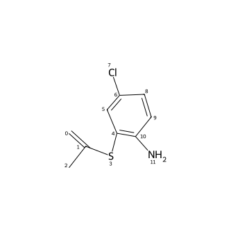 C=C(C)Sc1cc(Cl)ccc1N